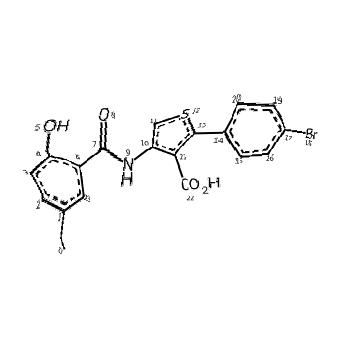 Cc1ccc(O)c(C(=O)Nc2csc(-c3ccc(Br)cc3)c2C(=O)O)c1